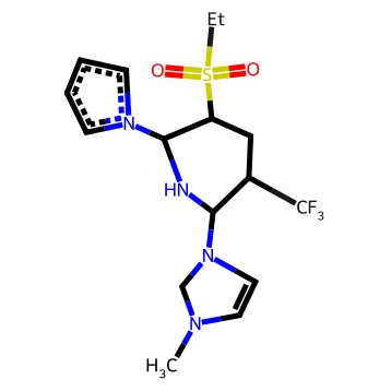 CCS(=O)(=O)C1CC(C(F)(F)F)C(N2C=CN(C)C2)NC1n1cccc1